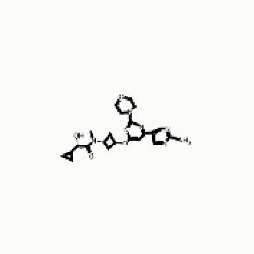 CN(C(=O)[C@@H](O)C1CC1)[C@H]1C[C@H](Oc2cc(-c3cnc(N)nc3)nc(N3CCOCC3)n2)C1